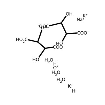 O.O.O.O.O=C([O-])C(O)C(O)C(=O)O.O=C([O-])C(O)C(O)C(=O)[O-].[H].[K+].[K+].[Na+]